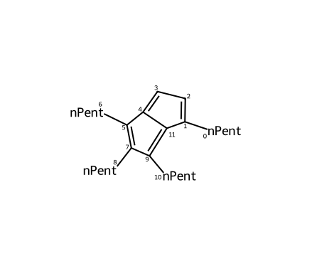 CCCCCC1=CC=C2C(CCCCC)=C(CCCCC)C(CCCCC)=C12